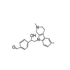 Cc1ccc2c(c1)c1c(n2CC(O)c2ccc(C=O)cc2)CN(C)CC1